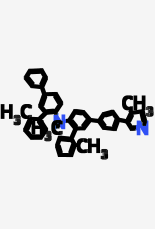 Cc1ccncc1-c1ccc(-c2ccc(N(C)c3ccc(-c4ccccc4)cc3-c3ccccc3C)c(-c3ccccc3C)c2)cc1